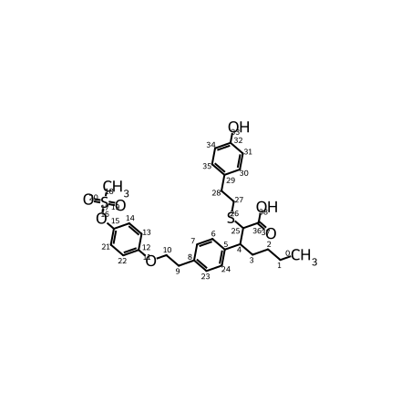 CCCCC(c1ccc(CCOc2ccc(OS(C)(=O)=O)cc2)cc1)C(SCCc1ccc(O)cc1)C(=O)O